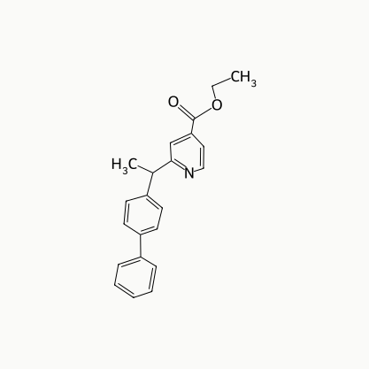 CCOC(=O)c1ccnc(C(C)c2ccc(-c3ccccc3)cc2)c1